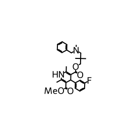 COC(=O)C1=C(C)NC(C)=C(C(=O)OCC(C)(C)CN(C)Cc2ccccc2)C1c1cccc(F)c1